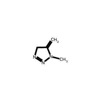 C=C1CN=NN1C